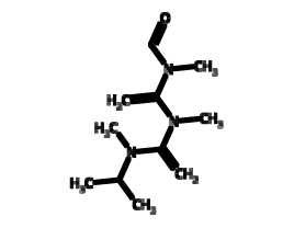 C=C(N(C)C=O)N(C)C(=C)N(C)C(C)C